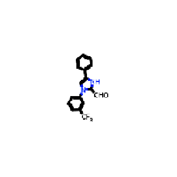 O=CC1NC(c2ccccc2)=CN1c1cccc(C(F)(F)F)c1